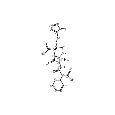 Cn1nnnc1SCC1=C(C(=O)O)N2C(=O)C(NC(=O)C(C(=O)O)c3ccccc3)[C@@H]2SC1